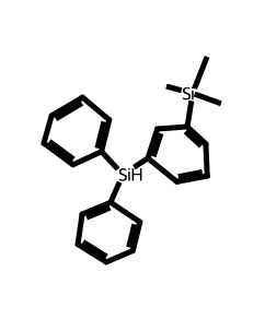 C[Si](C)(C)c1cccc([SiH](c2ccccc2)c2ccccc2)c1